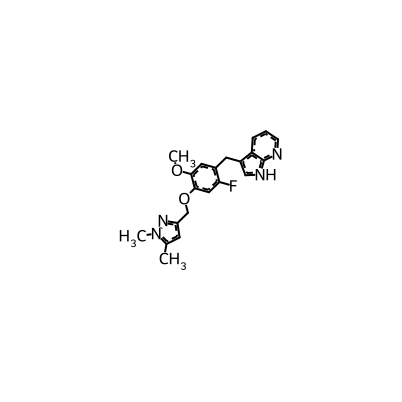 COc1cc(Cc2c[nH]c3ncccc23)c(F)cc1OCc1cc(C)n(C)n1